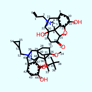 C=CCN1CCC23c4c5ccc(O)c4OC2C(=O)CCC3(O)C1C5.COC12CCC3(CC1C(C)(O)C(C)(C)C)C1Cc4ccc(O)c5c4C3(CCN1CC1CC1)C2O5